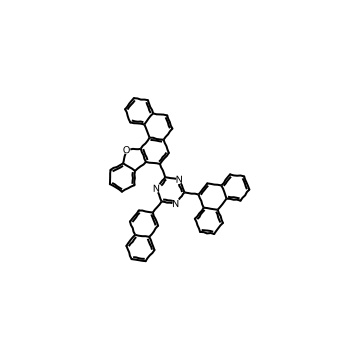 c1ccc2cc(-c3nc(-c4cc5ccccc5c5ccccc45)nc(-c4cc5ccc6ccccc6c5c5oc6ccccc6c45)n3)ccc2c1